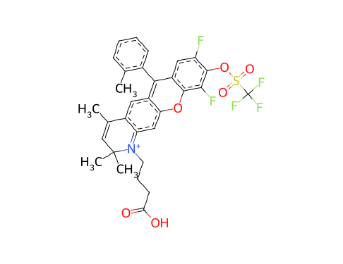 CC1=CC(C)(C)[N+](CCCC(=O)O)=c2cc3c(cc21)=C(c1ccccc1C)c1cc(F)c(OS(=O)(=O)C(F)(F)F)c(F)c1O3